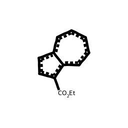 CCOC(=O)c1ccc2cccccc1-2